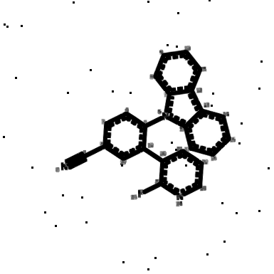 N#Cc1ccc(-n2c3ccccc3c3ccccc32)c(-c2cccnc2F)c1